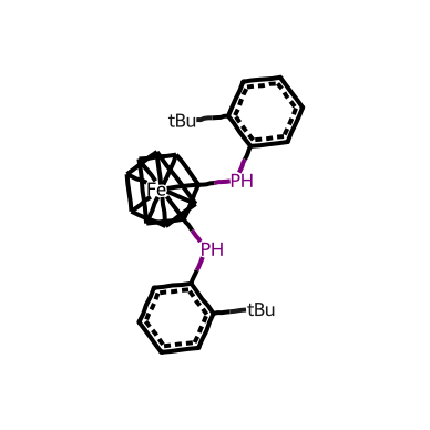 CC(C)(C)c1ccccc1P[C]12[CH]3[CH]4[CH]5[C]1(Pc1ccccc1C(C)(C)C)[Fe]43521678[CH]2[CH]1[CH]6[CH]7[CH]28